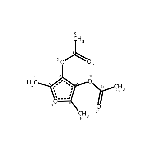 CC(=O)Oc1c(C)oc(C)c1OC(C)=O